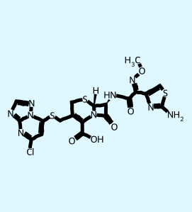 CON=C(C(=O)N[C@@H]1C(=O)N2C(C(=O)O)=C(CSc3cc(Cl)nc4ncnn34)CS[C@H]12)c1csc(N)n1